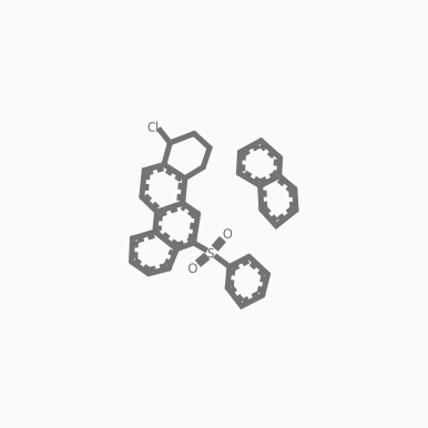 O=S(=O)(c1ccccc1)c1cc2c3c(ccc2c2ccccc12)C(Cl)CCC3.c1ccc2ccccc2c1